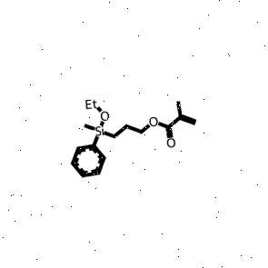 C=C(C)C(=O)OCCC[Si](C)(OCC)c1ccccc1